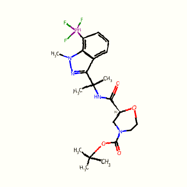 Cn1nc(C(C)(C)NC(=O)[C@@H]2CN(C(=O)OC(C)(C)C)CCO2)c2cccc([PH](F)(F)F)c21